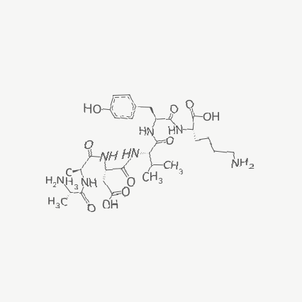 CC(C)[C@H](NC(=O)[C@H](CC(=O)O)NC(=O)[C@H](C)NC(=O)[C@H](C)N)C(=O)N[C@@H](Cc1ccc(O)cc1)C(=O)N[C@@H](CCCCN)C(=O)O